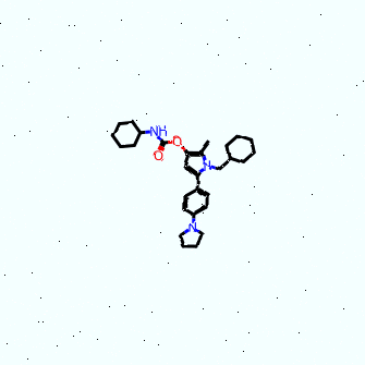 Cc1c(OC(=O)NC2CCCCC2)cc(-c2ccc(N3CCCC3)cc2)n1CC1CCCCC1